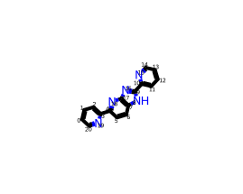 c1ccc(-c2ccc3[nH]c(-c4ccccn4)nc3n2)nc1